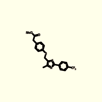 COC(=O)Cc1ccc(SCc2sc(-c3ccc(C(F)(F)F)cc3)nc2C)cc1